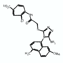 Bc1nnc(SCC(=O)Nc2ccc(C(=O)O)cc2Cl)n1-c1ccc(C)c2ccc(OC)cc12